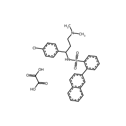 CN(C)CCC(NS(=O)(=O)c1ccccc1-c1ccc2ccccc2c1)c1ccc(Cl)cc1.O=C(O)C(=O)O